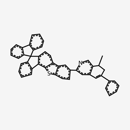 CC1CC(c2ccccc2)=Cc2cc(-c3ccc4sc5c6c(ccc5c4c3)C3(c4ccccc4-c4ccccc43)c3ccccc3-6)ncc21